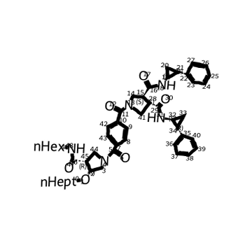 CCCCCCCO[C@H]1CN(C(=O)c2ccc(C(=O)N3C[C@@H](C(=O)N[C@H]4C[C@@H]4c4ccccc4)[C@H](C(=O)N[C@H]4C[C@@H]4c4ccccc4)C3)cc2)C[C@H]1C(=O)NCCCCCC